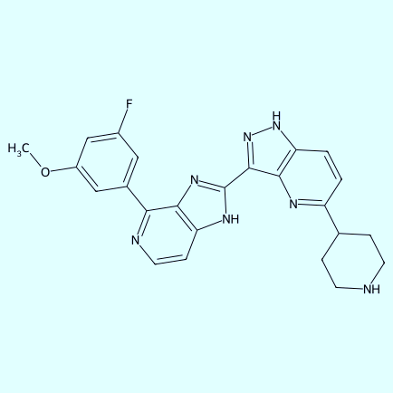 COc1cc(F)cc(-c2nccc3[nH]c(-c4n[nH]c5ccc(C6CCNCC6)nc45)nc23)c1